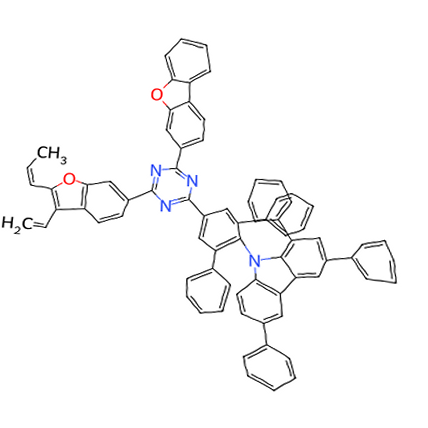 C=Cc1c(/C=C\C)oc2cc(-c3nc(-c4cc(-c5ccccc5)c(-n5c6ccc(-c7ccccc7)cc6c6cc(-c7ccccc7)cc(-c7ccccc7)c65)c(-c5ccccc5)c4)nc(-c4ccc5c(c4)oc4ccccc45)n3)ccc12